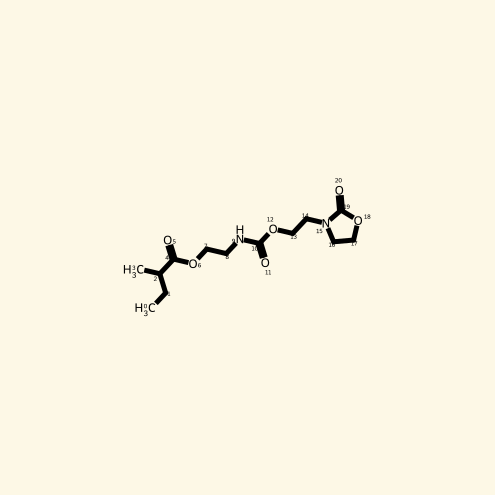 CCC(C)C(=O)OCCNC(=O)OCCN1CCOC1=O